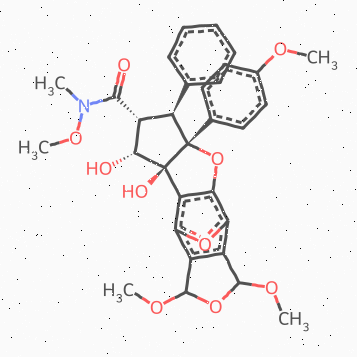 COc1ccc([C@@]23Oc4c(c5oc4c4c5C(OC)OC4OC)[C@]2(O)[C@H](O)[C@H](C(=O)N(C)OC)[C@H]3c2ccccc2)cc1